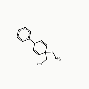 NCC1(CO)C=CC(c2ccccc2)C=C1